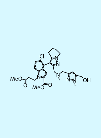 COC(=O)CCn1c(C(=O)OC)cc2c(-c3c(CN(C)Cc4cc(CO)n(C)n4)nn4c3CCCC4)c(Cl)ccc21